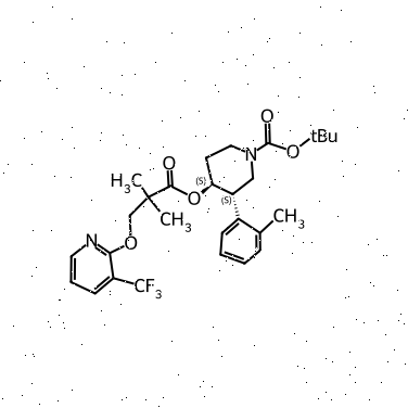 Cc1ccccc1[C@H]1CN(C(=O)OC(C)(C)C)CC[C@@H]1OC(=O)C(C)(C)COc1ncccc1C(F)(F)F